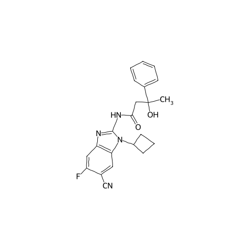 CC(O)(CC(=O)Nc1nc2cc(F)c(C#N)cc2n1C1CCC1)c1ccccc1